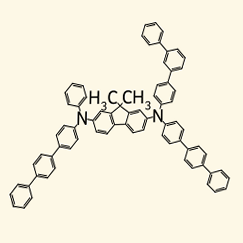 CC1(C)c2cc(N(c3ccccc3)c3ccc(-c4ccc(-c5ccccc5)cc4)cc3)ccc2-c2ccc(N(c3ccc(-c4ccc(-c5ccccc5)cc4)cc3)c3ccc(-c4cccc(-c5ccccc5)c4)cc3)cc21